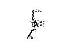 CCCCCCCCCCCCCCCC(=O)OCC1OC2OC(CCCCCCCCCCCCCCC)=NC2C(OC(C)=O)C1OC(C)=O